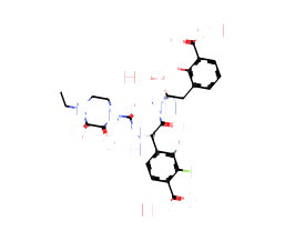 CCN1CCN(C(=O)N[C@H](C(=O)N[C@H]2Cc3cccc(C(=O)O)c3OB2O)c2ccc(C(=O)O)c(F)c2Cl)C(=O)C1=O